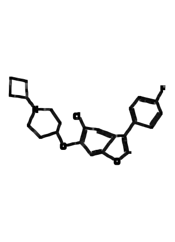 Fc1ccc(-c2[c]oc3cc(OC4CCN(C5CCC5)CC4)c(Cl)cc23)cc1